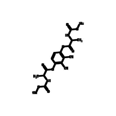 CC(NC(=O)OC(C)(C)C)C(=O)Oc1ccc(OC(=O)C(C)NC(=O)OC(C)(C)C)c(C#N)c1C#N